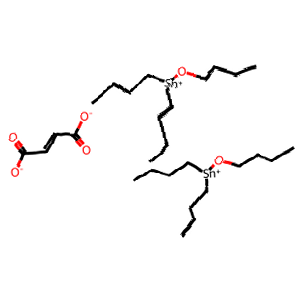 CCCC[O][Sn+]([CH2]CCC)[CH2]CCC.CCCC[O][Sn+]([CH2]CCC)[CH2]CCC.O=C([O-])C=CC(=O)[O-]